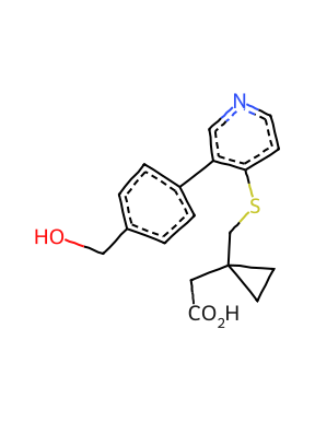 O=C(O)CC1(CSc2ccncc2-c2ccc(CO)cc2)CC1